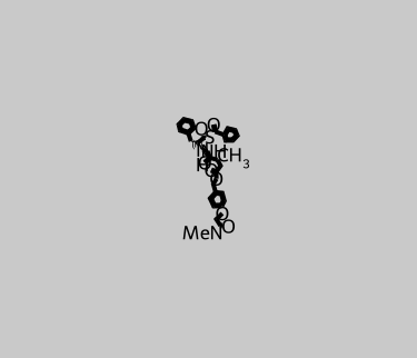 CNC(=O)COc1ccc(COC(=O)CC(C)C(=O)NN[C@H](Cc2ccccc2)C(=O)SC(=O)c2ccccc2)cc1